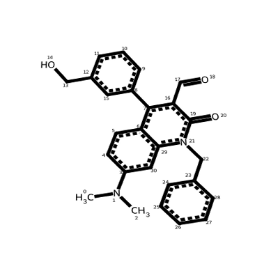 CN(C)c1ccc2c(-c3cccc(CO)c3)c(C=O)c(=O)n(Cc3ccccc3)c2c1